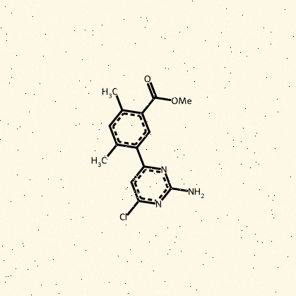 COC(=O)c1cc(-c2cc(Cl)nc(N)n2)c(C)cc1C